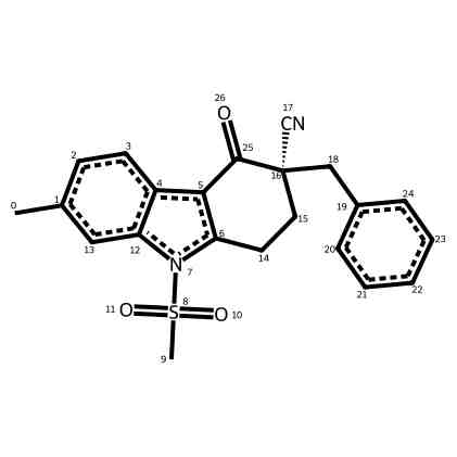 Cc1ccc2c3c(n(S(C)(=O)=O)c2c1)CC[C@](C#N)(Cc1ccccc1)C3=O